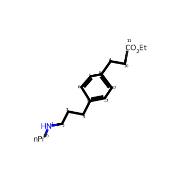 CCCNCCCc1ccc(CCC(=O)OCC)cc1